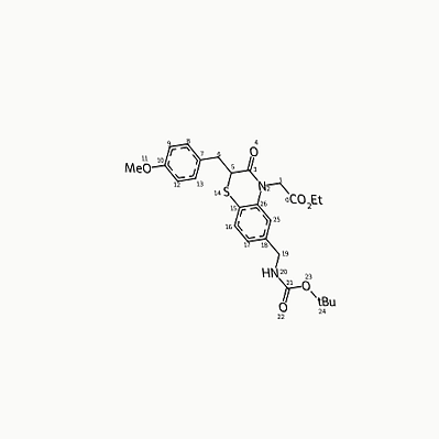 CCOC(=O)CN1C(=O)C(Cc2ccc(OC)cc2)Sc2ccc(CNC(=O)OC(C)(C)C)cc21